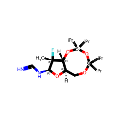 CC(C)[Si]1(C(C)C)OC[C@H]2O[C@@H](NC=N)[C@](C)(F)[C@@H]2O[Si](C(C)C)(C(C)C)O1